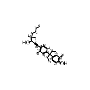 CCCCC(C)(C)C(O)C#Cc1ccc(C(CC)(CC)c2ccc(O)c(C)c2)cc1C